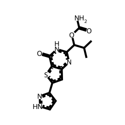 CC(C)C(OC(N)=O)c1nc2cc(-c3cc[nH]n3)sc2c(=O)[nH]1